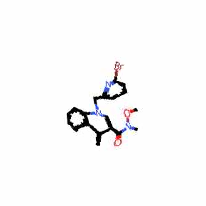 C=C1C(C(=O)N(C)OC)=CN(Cc2cccc(Br)n2)c2ccccc21